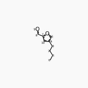 CCCCc1coc(C=O)c1